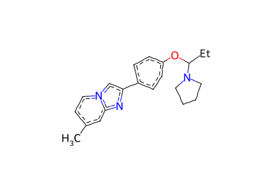 CCC(Oc1ccc(-c2cn3ccc(C)cc3n2)cc1)N1CCCC1